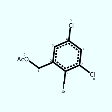 CC(=O)OCc1cc(Cl)cc(Cl)c1I